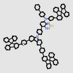 N=C1C(c2ccc(-n3c4ccc(-c5ccc(-c6ccc7c(c6)C6(c8ccccc8-c8ccccc86)c6ccccc6-7)cc5)cc4c4cc(-c5ccc(-c6ccc7c(c6)C6(c8ccccc8-c8ccccc86)c6ccccc6-7)cc5)ccc43)cc2)=CC=C(N(c2ccc(-c3ccccc3)cc2)c2ccc(-c3cccc4c3-c3ccccc3C43c4ccccc4-c4ccccc43)cc2)/C1=N/S